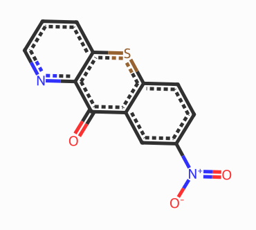 O=c1c2cc([N+](=O)[O-])ccc2sc2cccnc12